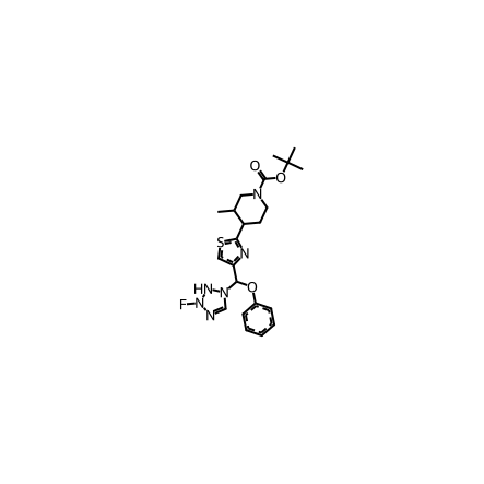 CC1CN(C(=O)OC(C)(C)C)CCC1c1nc(C(Oc2ccccc2)N2C=NN(F)N2)cs1